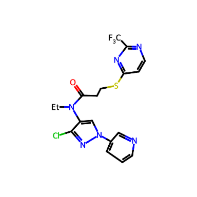 CCN(C(=O)CCSc1ccnc(C(F)(F)F)n1)c1cn(-c2cccnc2)nc1Cl